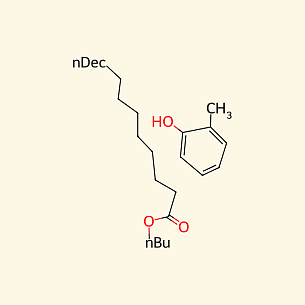 CCCCCCCCCCCCCCCCCC(=O)OCCCC.Cc1ccccc1O